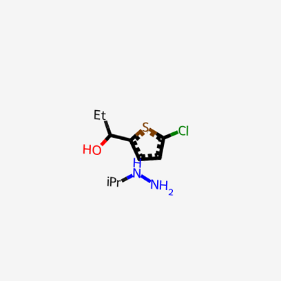 CC(C)NN.CCC(O)c1ccc(Cl)s1